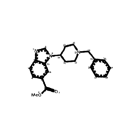 COC(=O)c1ccc2ncn(C3CCN(Cc4ccccc4)CC3)c2c1